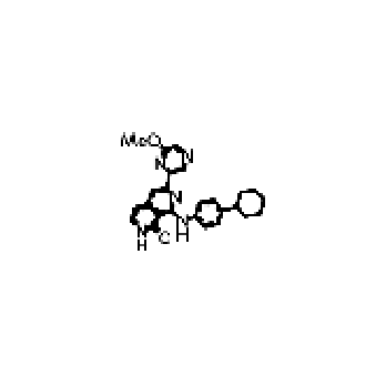 COc1cncc(-c2cc3cc[nH]c(=O)c3c(Nc3ccc(C4CCCCC4)cc3)n2)n1